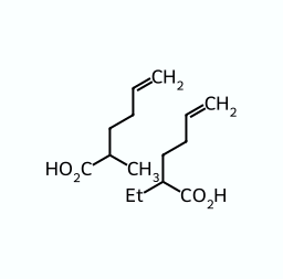 C=CCCC(C)C(=O)O.C=CCCC(CC)C(=O)O